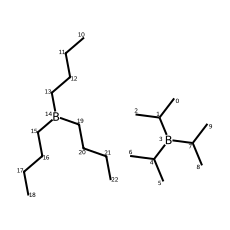 CC(C)B(C(C)C)C(C)C.CCCCB(CCCC)CCCC